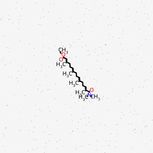 CCOC(=O)/C=C(\C)CC/C=C(\C)CC/C=C(\C)CC/C=C(\C)C(=O)N(C)C